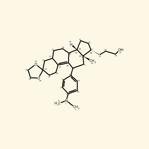 CN(C)c1ccc(C2C[C@@]3(C)[C@@H](CCCO)CC[C@H]3C3CCC4CC5(CCC4=C23)OCCO5)cc1